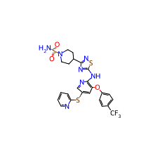 NS(=O)(=O)N1CCC(c2nsc(Nc3ncc(Sc4ccccn4)cc3Oc3ccc(C(F)(F)F)cc3)n2)CC1